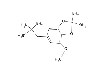 BC(B)(N)Cc1cc(OC)c2c(c1)OC(B)(B)O2